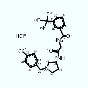 Cl.O=C(CNC(=O)c1cccc(C(F)(F)F)c1)N[C@@H]1CCN(Cc2ccc(Cl)cc2)C1